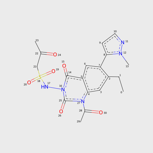 CCc1cc2c(cc1-c1ccnn1C)c(=O)n(NS(=O)(=O)CC(C)=O)c(=O)n2C(C)=O